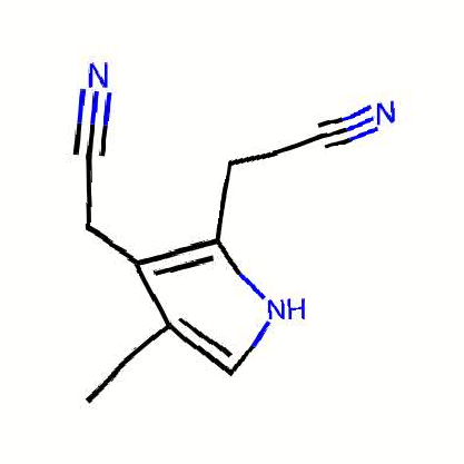 Cc1c[nH]c(CC#N)c1CC#N